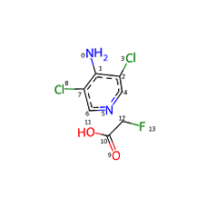 Nc1c(Cl)cncc1Cl.O=C(O)CF